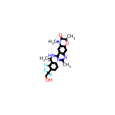 Cc1nc(N[C@H](C)c2cccc(C(F)(F)CO)c2F)c2cc3c(cc2n1)O[C@H](C)C(=O)N3C